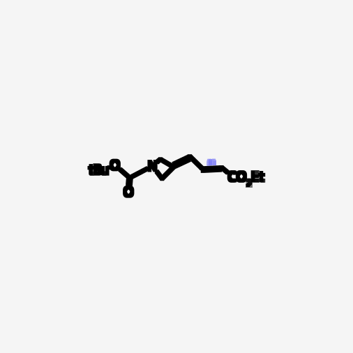 CCOC(=O)/C=C/C=C1CN(C(=O)OC(C)(C)C)C1